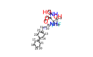 CC(O)(C(F)F)C(NC(=O)/C=C/c1ccc(-c2ccccc2)cc1)C(=O)NO